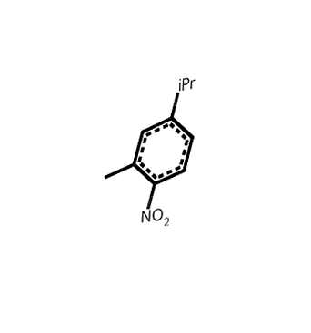 Cc1cc(C(C)C)ccc1[N+](=O)[O-]